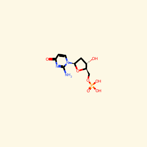 Nc1nc(=O)ccn1[C@H]1C[C@H](O)[C@@H](COP(=O)(O)O)O1